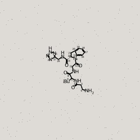 CCC(C)C(NC(=O)CCN)C(=O)NCC(=O)N1c2ccccc2C[C@H]1C(=O)NCc1nn[nH]n1